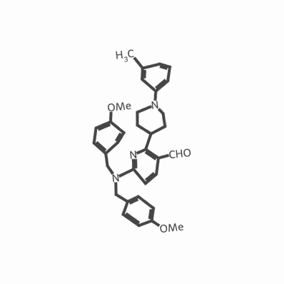 COc1ccc(CN(Cc2ccc(OC)cc2)c2ccc(C=O)c(C3CCN(c4cccc(C)c4)CC3)n2)cc1